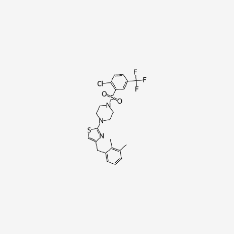 Cc1cccc(Cc2csc(N3CCN(S(=O)(=O)c4cc(C(F)(F)F)ccc4Cl)CC3)n2)c1C